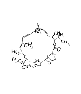 CC1=C\[C@@H](O)C[C@H](N(C)C)Cc2nc(co2)C(=O)N2CCC=C2C(=O)OC(C(C)C)[C@H](C)/C=C/C(=O)NC\C=C\1